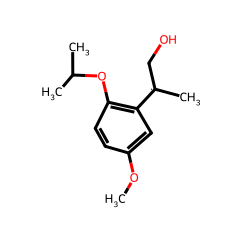 COc1ccc(OC(C)C)c([C](C)CO)c1